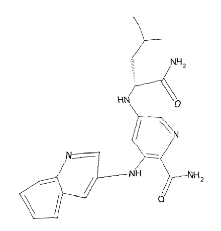 CC(C)C[C@@H](Nc1cnc(C(N)=O)c(Nc2cnc3ccccc3c2)c1)C(N)=O